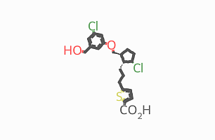 O=C(O)c1ccc(CCC[C@@H]2[C@@H](COc3cc(Cl)cc(CO)c3)CC[C@H]2Cl)s1